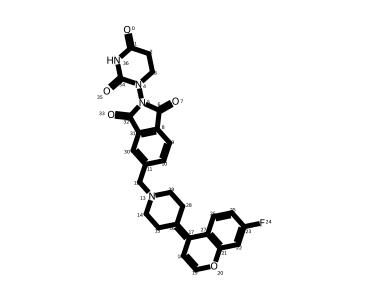 O=C1CCN(N2C(=O)c3ccc(CN4CCC(=C5C=COc6cc(F)ccc65)CC4)cc3C2=O)C(=O)N1